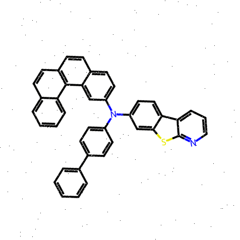 c1ccc(-c2ccc(N(c3ccc4c(c3)sc3ncccc34)c3ccc4ccc5ccc6ccccc6c5c4c3)cc2)cc1